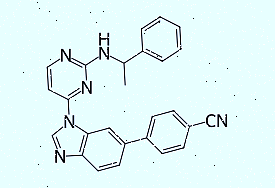 CC(Nc1nccc(-n2cnc3ccc(-c4ccc(C#N)cc4)cc32)n1)c1ccccc1